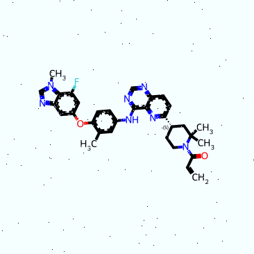 C=CC(=O)N1CC[C@H](c2ccc3ncnc(Nc4ccc(Oc5cc(F)c6c(c5)ncn6C)c(C)c4)c3n2)CC1(C)C